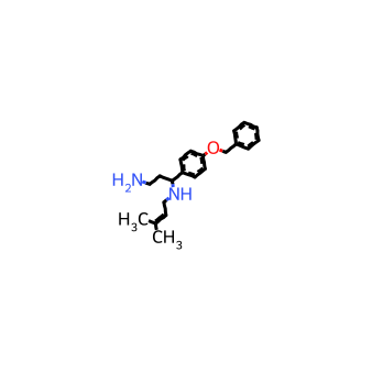 CC(C)=CCNC(CCN)c1ccc(OCc2ccccc2)cc1